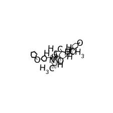 CC1=C2C[C@H]3[C@@H](CCC4=CC(=O)CC[C@@]43C)[C@@H]2CCC2(C1)O[C@@H]1C[C@H](C)CN(Cc3ccc(Oc4ccccc4)cc3)[C@H]1[C@H]2C